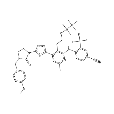 COc1ccc(CN2CCN(c3ccn(-c4cc(C)nc(Nc5ccc(C#N)cc5C(F)(F)F)c4CCO[Si](C)(C)C(C)(C)C)n3)C2=O)cc1